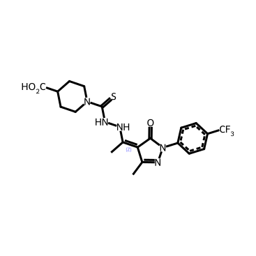 CC1=NN(c2ccc(C(F)(F)F)cc2)C(=O)/C1=C(/C)NNC(=S)N1CCC(C(=O)O)CC1